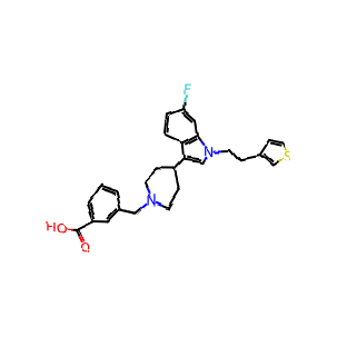 O=C(O)c1cccc(CN2CCC(c3cn(CCc4ccsc4)c4cc(F)ccc34)CC2)c1